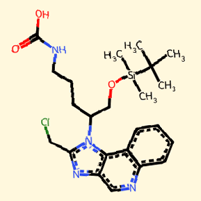 CC(C)(C)[Si](C)(C)OCC(CCCNC(=O)O)n1c(CCl)nc2cnc3ccccc3c21